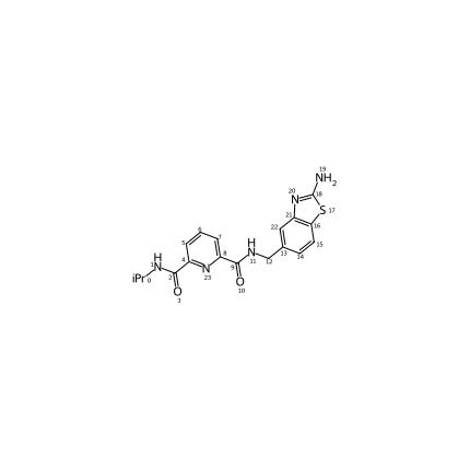 CC(C)NC(=O)c1cccc(C(=O)NCc2ccc3sc(N)nc3c2)n1